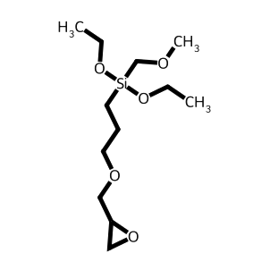 CCO[Si](CCCOCC1CO1)(COC)OCC